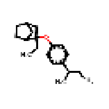 CCC(C)c1ccc(OC2(CC)CC3CCC2C3)cc1